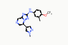 Cc1cc(Nc2nc3cncc(-c4cnn(C)c4)n3n2)ccc1OC(F)(F)F